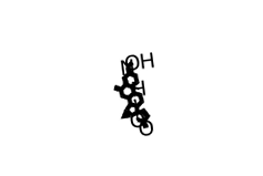 C=C1CC2C(CC[C@@]3(C)C2C2CC2[C@@]32C=CC(=O)O2)[C@H]2CC/C(=N\O)C=C12